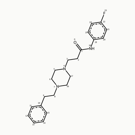 O=C(CCN1CCN(CCc2ccccc2)CC1)Nc1ccc(F)cc1